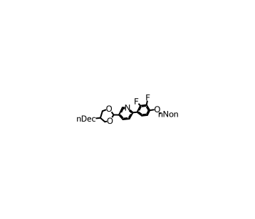 CCCCCCCCCCC1COC(c2ccc(-c3ccc(OCCCCCCCCC)c(F)c3F)nc2)OC1